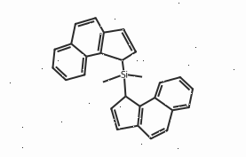 C[Si](C)(C1C=Cc2ccc3ccccc3c21)C1C=Cc2ccc3ccccc3c21